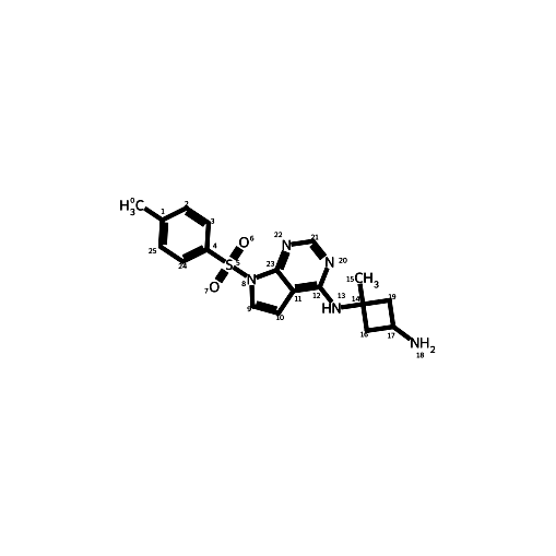 Cc1ccc(S(=O)(=O)n2ccc3c(NC4(C)CC(N)C4)ncnc32)cc1